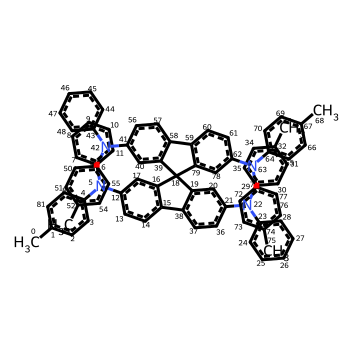 Cc1ccc(N(c2ccccc2)c2ccc3c(c2)C2(c4cc(N(c5ccccc5)c5ccc(C)cc5)ccc4-3)c3cc(N(c4ccccc4)c4ccc(C)cc4)ccc3-c3ccc(N(c4ccc(C)cc4)c4ccc(C)cc4)cc32)cc1